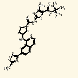 Cc1nc(-c2ccc3ccnc(NC4CCN(C(=O)Nc5nc(C)c(C(=O)OC(C)(C)C)s5)C4)c3c2)no1